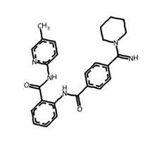 Cc1ccc(NC(=O)c2ccccc2NC(=O)c2ccc(C(=N)N3CCCCC3)cc2)nc1